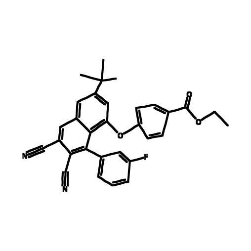 CCOC(=O)c1ccc(Oc2cc(C(C)(C)C)cc3cc(C#N)c(C#N)c(-c4cccc(F)c4)c23)cc1